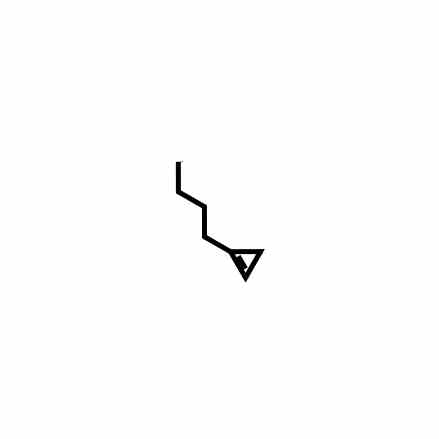 [CH2]CCCC1=CC1